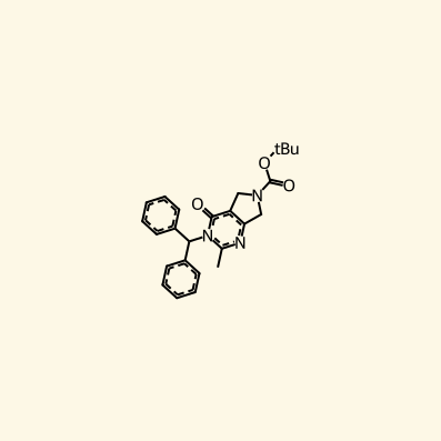 Cc1nc2c(c(=O)n1C(c1ccccc1)c1ccccc1)CN(C(=O)OC(C)(C)C)C2